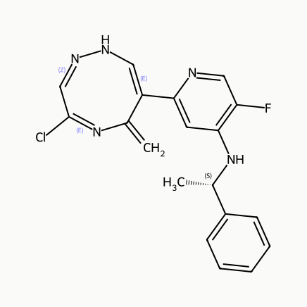 C=C1/N=C(Cl)\C=N/N/C=C\1c1cc(N[C@@H](C)c2ccccc2)c(F)cn1